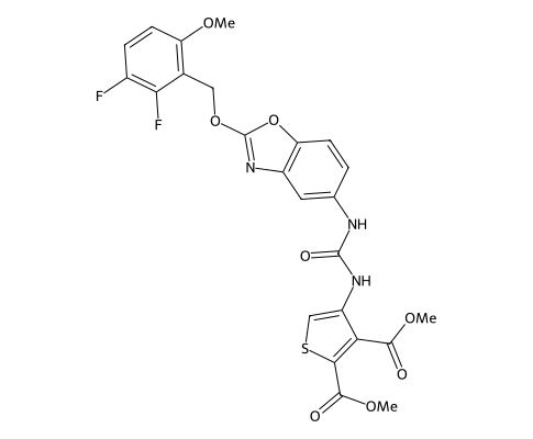 COC(=O)c1scc(NC(=O)Nc2ccc3oc(OCc4c(OC)ccc(F)c4F)nc3c2)c1C(=O)OC